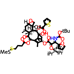 CSSCCCC(=O)O[C@H]1C(=O)[C@@]2(C)[C@H]([C@H](OC(=O)c3cccs3)[C@]3(O)C[C@H](OC(=O)[C@H](O[Si](C(C)C)(C(C)C)C(C)C)[C@@H](NC(=O)OC(C)(C)C)c4ccco4)C(C)=C1C3(C)C)[C@]1(OC(C)=O)CO[C@@H]1C[C@@H]2C